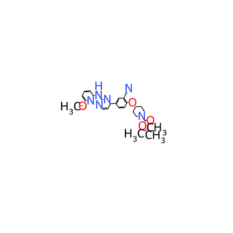 COc1cccc(Nc2nccc(-c3ccc(OC4CCN(C(=O)OC(C)(C)C)CC4)c(C#N)c3)n2)n1